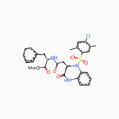 COC(=O)[C@@H](Cc1ccccc1)NC(=O)C[C@@H]1C(=O)Nc2ccccc2N1S(=O)(=O)c1cc(C)c(Cl)cc1C